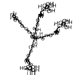 O=C(CCOCCOCCn1cc(CCO[C@@H]2O[C@H](CO)[C@H](O)[C@H](O)[C@H]2O)nn1)NCCCCC[C@H](NC(=O)CCCNC(=O)CCOCCOCCn1cc(CCO[C@@H]2O[C@H](CO)[C@H](O)[C@H](O)[C@H]2O)nn1)C(=O)N[C@@H](CCCCNC(=O)CCOCCOCCn1cc(CCO[C@@H]2O[C@H](CO)[C@H](O)[C@H](O)[C@H]2O)nn1)C(=O)NCCOCCOCCOCCOCCC(=O)Oc1c(F)c(F)c(F)c(F)c1F